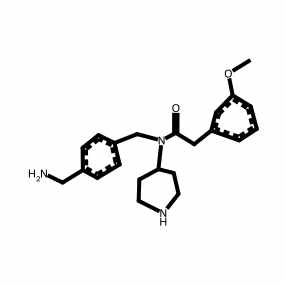 COc1cccc(CC(=O)N(Cc2ccc(CN)cc2)C2CCNCC2)c1